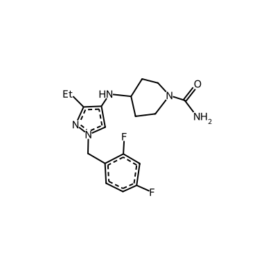 CCc1nn(Cc2ccc(F)cc2F)cc1NC1CCN(C(N)=O)CC1